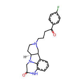 O=C1CN2c3c(cccc3C3CN(CCCC(=O)c4ccc(F)cc4)CC[C@@H]32)N1